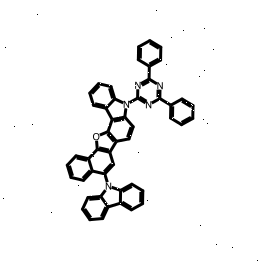 c1ccc(-c2nc(-c3ccccc3)nc(-n3c4ccccc4c4c5oc6c7ccccc7c(-n7c8ccccc8c8ccccc87)cc6c5ccc43)n2)cc1